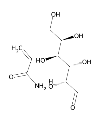 C=CC(N)=O.O=C[C@H](O)[C@@H](O)[C@@H](O)[C@H](O)CO